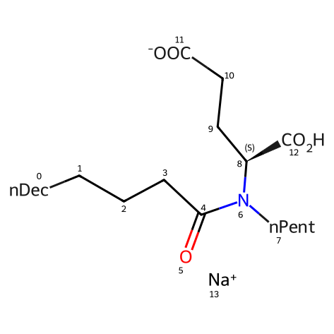 CCCCCCCCCCCCCC(=O)N(CCCCC)[C@@H](CCC(=O)[O-])C(=O)O.[Na+]